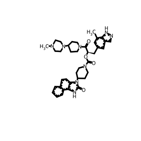 Cc1cc(C[C@@H](OC(=O)N2CCC(n3c(=O)[nH]c4c5ccccc5ccc43)CC2)C(=O)N2CCC(N3CCN(C)CC3)CC2)cc2cn[nH]c12